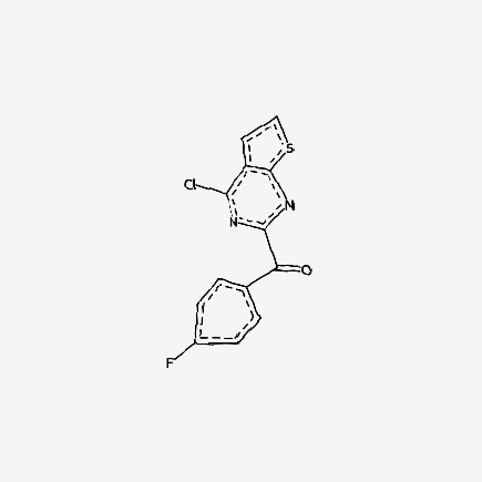 O=C(c1ccc(F)cc1)c1nc(Cl)c2ccsc2n1